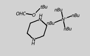 C1CNCCN1.CC(C)(C)OC=O.CCCC[N+](CCCC)(CCCC)CCCC